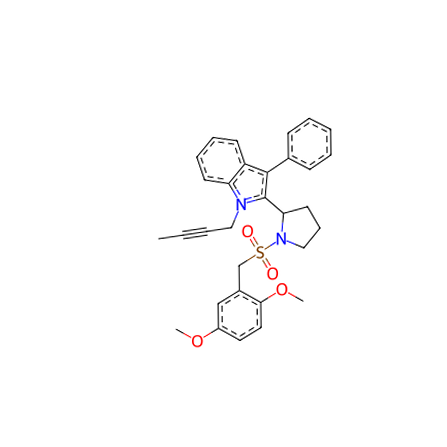 CC#CCn1c(C2CCCN2S(=O)(=O)Cc2cc(OC)ccc2OC)c(-c2ccccc2)c2ccccc21